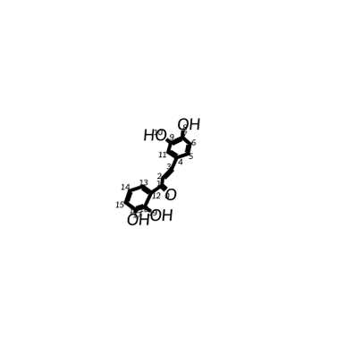 O=C(C=Cc1ccc(O)c(O)c1)c1cccc(O)c1O